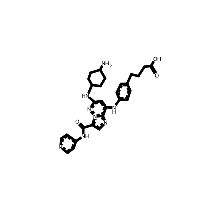 NC1CCC(Nc2cc(Nc3ccc(CCCC(=O)O)cc3)c3ncc(C(=O)Nc4ccncc4)n3n2)CC1